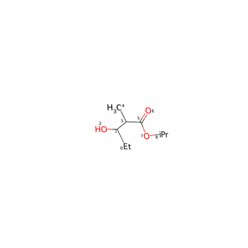 CCC(O)C(C)C(=O)OC(C)C